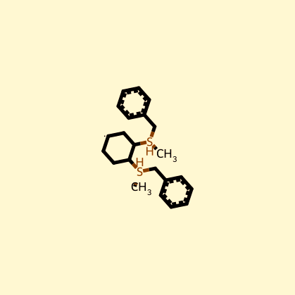 C[SH](Cc1ccccc1)C1C[CH]CCC1[SH](C)Cc1ccccc1